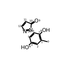 Cc1cc(O)ccc1O.O=C1C=CN=N1